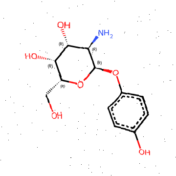 N[C@H]1[C@@H](Oc2ccc(O)cc2)O[C@H](CO)[C@H](O)[C@@H]1O